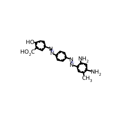 Cc1cc(/N=N/c2ccc(/N=N/c3ccc(O)c(C(=O)O)c3)cc2)c(N)cc1N